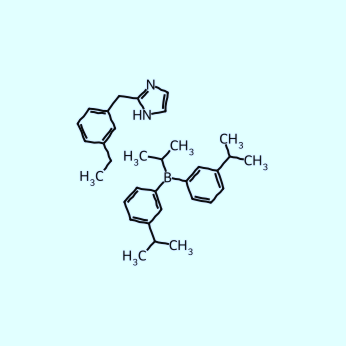 CC(C)B(c1cccc(C(C)C)c1)c1cccc(C(C)C)c1.CCc1cccc(Cc2ncc[nH]2)c1